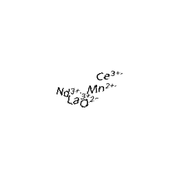 [Ce+3].[La+3].[Mn+2].[Nd+3].[O-2]